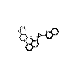 COC1CCN(c2cccc3ccn([C@@H]4CC4c4ccc5ccccc5n4)c(=O)c23)CC1